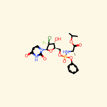 CC(C)OC(=O)[C@H](C)NP(=O)(OC[C@H]1O[C@@H](n2ccc(=O)[nH]c2=O)[C@@](F)(Cl)[C@@H]1O)Oc1ccccc1